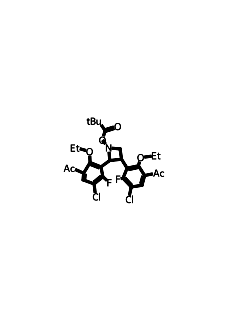 CCOc1c(C(C)=O)cc(Cl)c(F)c1C1CN(OC(=O)C(C)(C)C)C1c1c(F)c(Cl)cc(C(C)=O)c1OCC